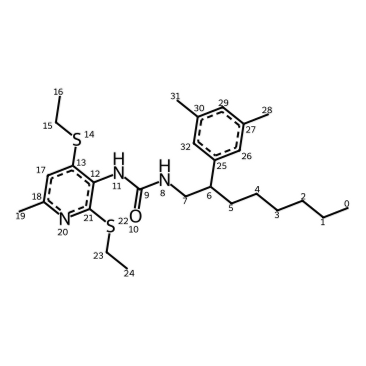 CCCCCCC(CNC(=O)Nc1c(SCC)cc(C)nc1SCC)c1cc(C)cc(C)c1